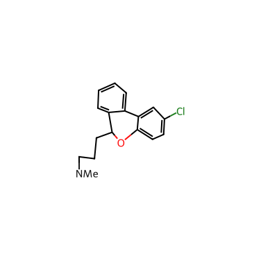 CNCCCC1Oc2ccc(Cl)cc2-c2ccccc21